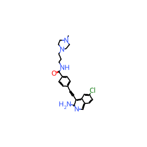 CN1CCN(CCCNC(=O)c2ccc(C#Cc3c(N)ncc4ccc(Cl)cc34)cc2)CC1